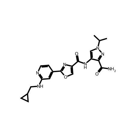 CC(C)n1cc(NC(=O)c2coc(-c3ccnc(NCC4CC4)c3)n2)c(C(N)=O)n1